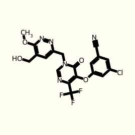 COc1nnc(Cn2cnc(C(F)(F)F)c(Oc3cc(Cl)cc(C#N)c3)c2=O)cc1CO